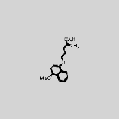 C=C(CCCOc1ccc(OC)c2ccccc12)C(=O)O